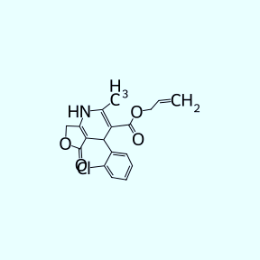 C=CCOC(=O)C1=C(C)NC2=C(C(=O)OC2)C1c1ccccc1Cl